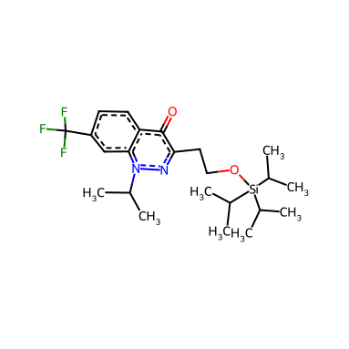 CC(C)n1nc(CCO[Si](C(C)C)(C(C)C)C(C)C)c(=O)c2ccc(C(F)(F)F)cc21